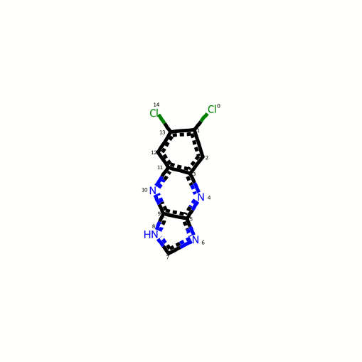 Clc1cc2nc3nc[nH]c3nc2cc1Cl